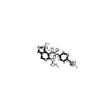 COc1ncc2cnn(C)c2c1NS(=O)(=O)c1ccc(NN)nc1